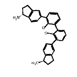 C[C@@H]1CCc2cc(-c3cccc(-c4cccc(-c5ccc6c(c5)CC[C@H]6N)c4Cl)c3Cl)ccc21